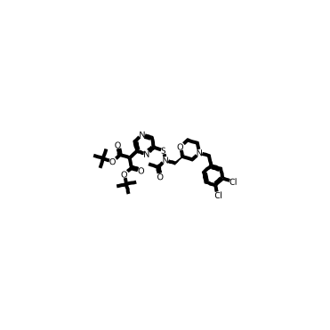 CC(=O)N(C[C@@H]1CN(Cc2ccc(Cl)c(Cl)c2)CCO1)Sc1cncc(C(C(=O)OC(C)(C)C)C(=O)OC(C)(C)C)n1